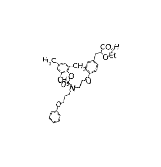 CCOC(Cc1ccc(OCCN(CCCOc2ccccc2)C(=O)Oc2c(C)cc(C)cc2C)cc1)C(=O)O